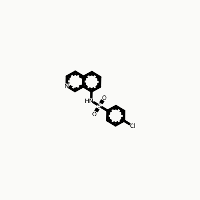 O=S(=O)(Nc1cccc2ccncc12)c1ccc(Cl)cc1